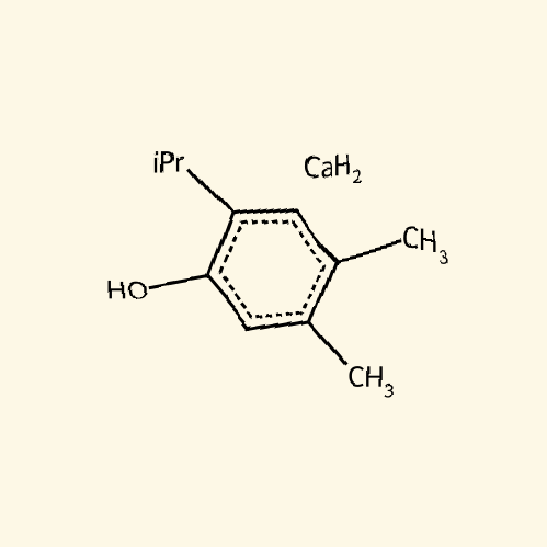 Cc1cc(O)c(C(C)C)cc1C.[CaH2]